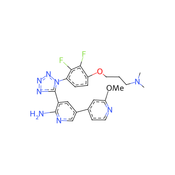 COc1cc(-c2cnc(N)c(-c3nnnn3-c3ccc(OCCCN(C)C)c(F)c3F)c2)ccn1